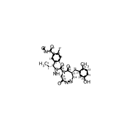 CC[C@H](c1ccc(I)c(C(=O)N=O)c1)N(N)C(=O)N1CC(=O)N=NC[C@H](Cc2cc(O)ccc2C)C1=O